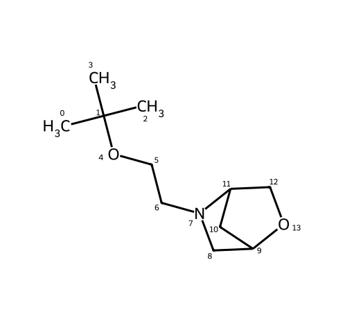 CC(C)(C)OCCN1CC2CC1CO2